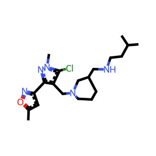 Cc1cc(-c2nn(C)c(Cl)c2CN2CCCC(CNCCC(C)C)C2)no1